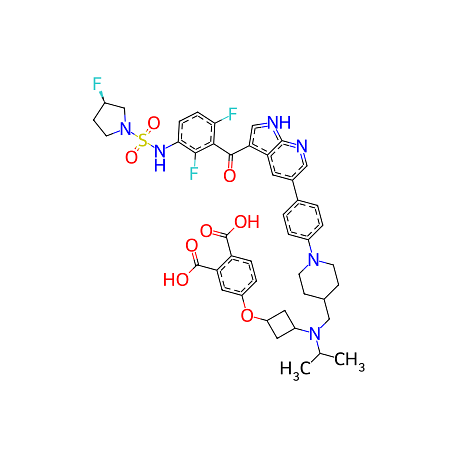 CC(C)N(CC1CCN(c2ccc(-c3cnc4[nH]cc(C(=O)c5c(F)ccc(NS(=O)(=O)N6CC[C@@H](F)C6)c5F)c4c3)cc2)CC1)C1CC(Oc2ccc(C(=O)O)c(C(=O)O)c2)C1